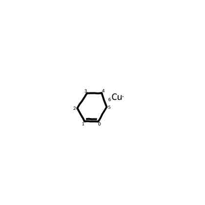 C1=CCCCC1.[Cu]